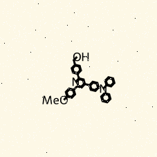 COc1ccc(-c2cc(-c3ccc(N(c4ccccc4)c4ccccc4)cc3)cc(-c3ccc(CO)cc3)n2)cc1